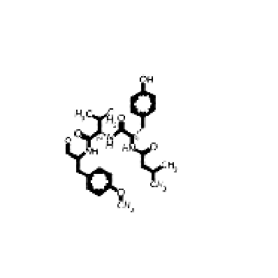 COc1ccc(CC(C=O)NC(=O)[C@@H](NC(=O)[C@H](Cc2ccc(O)cc2)NC(=O)CC(C)C)C(C)C)cc1